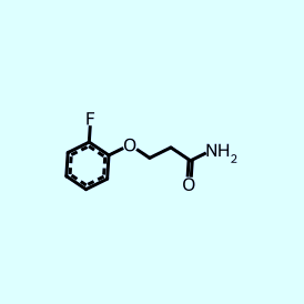 NC(=O)CCOc1ccccc1F